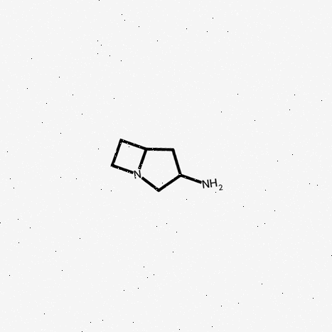 NC1CC2CCN2C1